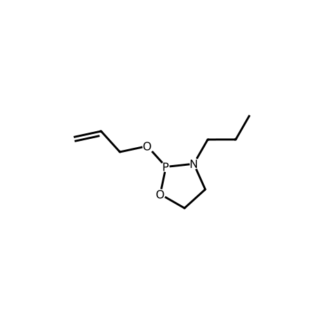 C=CCOP1OCCN1CCC